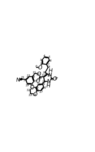 COc1ccccc1CCC1=C(C(=O)OCc2cccc(C#N)c2)C(c2ccc3c(c2)OCCO3)NC(=O)N1